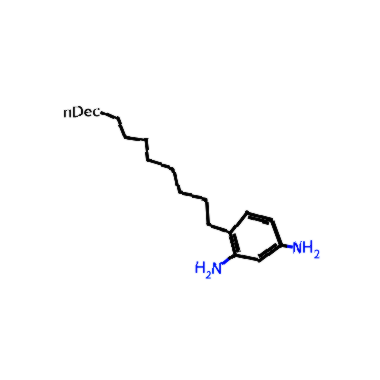 CCCCCCCCCCCCCCCCCCc1ccc(N)cc1N